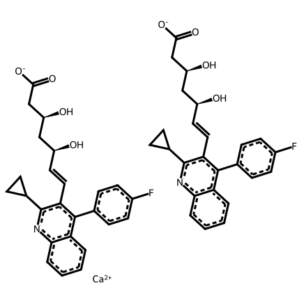 O=C([O-])C[C@@H](O)C[C@@H](O)/C=C/c1c(C2CC2)nc2ccccc2c1-c1ccc(F)cc1.O=C([O-])C[C@@H](O)C[C@@H](O)/C=C/c1c(C2CC2)nc2ccccc2c1-c1ccc(F)cc1.[Ca+2]